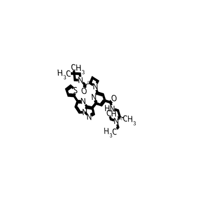 CCN(CC)[C@@H](C)CNC(=O)c1cc(-c2cnn3ccc(-c4cccs4)nc23)nc(N2CC[C@H]2C(=O)N2CC(C)(C)C2)c1